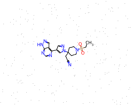 CCS(=O)(=O)N1CCC(CC#N)(n2cc(-c3ncnc4[nH]ncc34)cn2)CC1